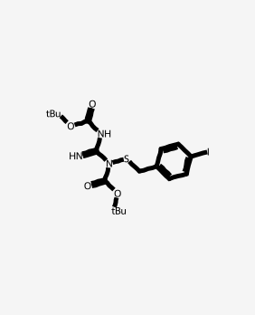 CC(C)(C)OC(=O)NC(=N)N(SCc1ccc(I)cc1)C(=O)OC(C)(C)C